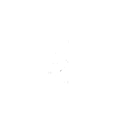 C[C@@]1(C(=O)O)[C@@H](O)CCN1C(=O)CCl